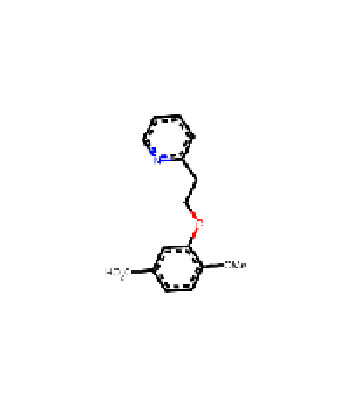 COc1ccc(C(=O)O)cc1OCCc1ccccn1